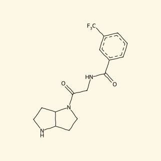 O=C(NCC(=O)N1CCC2NCCC21)c1cccc(C(F)(F)F)c1